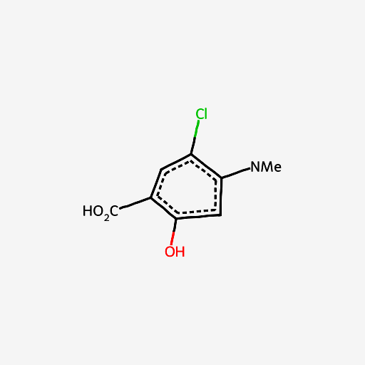 CNc1cc(O)c(C(=O)O)cc1Cl